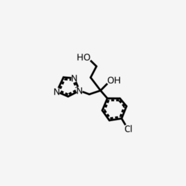 OCCC(O)(Cn1cncn1)c1ccc(Cl)cc1